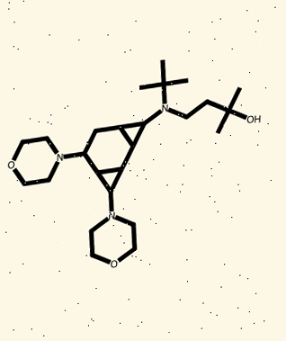 CC(C)(O)CCN(C1C2CC(N3CCOCC3)C3C(C21)C3N1CCOCC1)C(C)(C)C